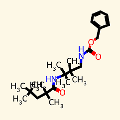 CC(C)(C)CC(C)(C)C(=O)NC(C)(C)C(C)(C)CNC(=O)OCc1ccccc1